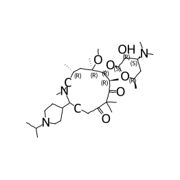 CO[C@]1(C)C[C@@H](C)CN(C)C(C2CCN(C(C)C)CC2)CCC(=O)C(C)(C)C(=O)[C@H](C)[C@H]1O[C@@H]1O[C@H](C)C[C@H](N(C)C)[C@H]1O